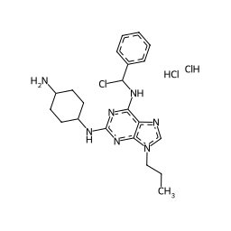 CCCn1cnc2c(NC(Cl)c3ccccc3)nc(NC3CCC(N)CC3)nc21.Cl.Cl